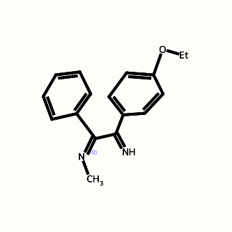 CCOc1ccc(C(=N)/C(=N\C)c2ccccc2)cc1